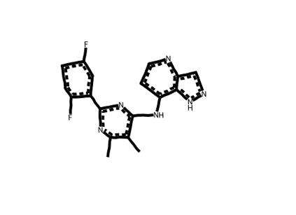 Cc1nc(-c2cc(F)ccc2F)nc(Nc2ccnc3cn[nH]c23)c1C